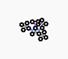 c1ccc([Si](c2ccccc2)(c2ccccc2)c2ccc(N3c4ccccc4B4c5ccc([Si](c6ccccc6)(c6ccccc6)c6ccccc6)cc5N(c5cccc([Si](c6ccccc6)(c6ccccc6)c6ccccc6)c5)c5cc(-n6c7ccccc7c7ccccc76)cc3c54)cc2)cc1